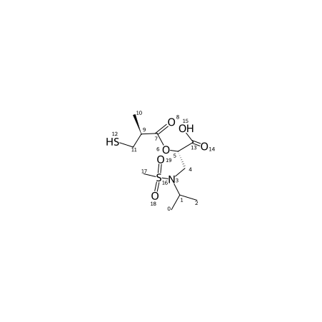 CC(C)N(C[C@H](OC(=O)[C@H](C)CS)C(=O)O)S(C)(=O)=O